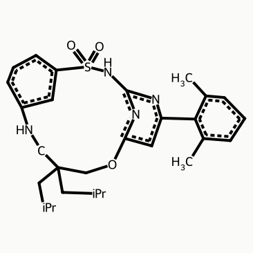 Cc1cccc(C)c1-c1cc2nc(n1)NS(=O)(=O)c1cccc(c1)NCC(CC(C)C)(CC(C)C)CO2